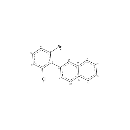 Clc1cccc(Br)c1-c1ccc2ccccc2c1